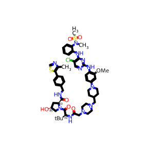 COc1cc(N2CCC(CN3CCN(CC(=O)N[C@H](C(=O)N4C[C@H](O)C[C@H]4C(=O)NCc4ccc(-c5scnc5C)cc4)C(C)(C)C)CC3)CC2)ccc1Nc1ncc(Cl)c(Nc2ccccc2N(C)S(C)(=O)=O)n1